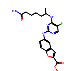 COC(=O)c1cc2cc(Nc3ncc(F)c(NC(C)CCCCC(N)=O)n3)ccc2o1